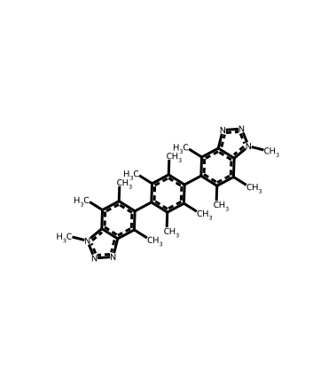 Cc1c(C)c(-c2c(C)c(C)c3c(nnn3C)c2C)c(C)c(C)c1-c1c(C)c(C)c2c(nnn2C)c1C